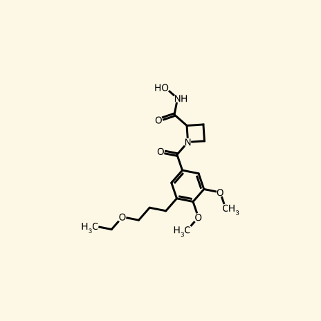 CCOCCCc1cc(C(=O)N2CCC2C(=O)NO)cc(OC)c1OC